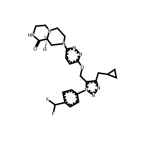 O=C1NCCN2CCN(c3ccc(OCc4c(CC5CC5)nnn4-c4ccc(C(F)F)cc4)nn3)C[C@@H]12